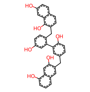 Oc1ccc(Cc2ccc3ccc(O)cc3c2O)c(-c2cc(Cc3cc4cccc(O)c4cc3O)ccc2O)c1